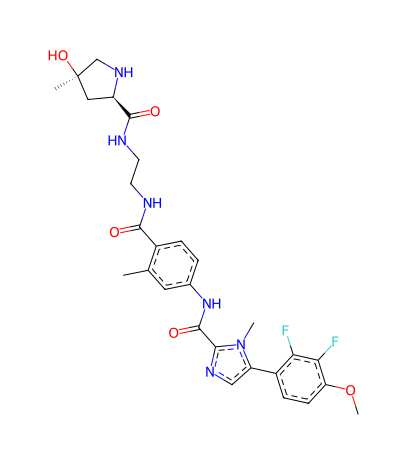 COc1ccc(-c2cnc(C(=O)Nc3ccc(C(=O)NCCNC(=O)[C@H]4C[C@@](C)(O)CN4)c(C)c3)n2C)c(F)c1F